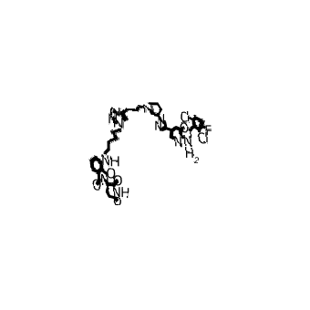 C[C@@H](Oc1cc(-c2cnn(C3CCCN(CCCc4cn(CCCCCCNc5cccc6c5C(=O)N(C5CCC(=O)NC5=O)C6=O)nn4)C3)c2)cnc1N)c1c(Cl)ccc(F)c1Cl